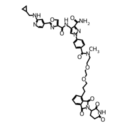 CN(CCOCCOCCCc1cccc2c1C(=O)N(C1CCC(=O)NC1=O)C2=O)C(=O)c1ccc(-n2cc(NC(=O)c3coc(-c4ccnc(NCC5CC5)c4)n3)c(C(N)=O)n2)cc1